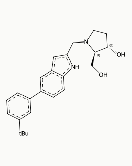 CC(C)(C)c1cccc(-c2ccc3[nH]c(CN4CC[C@H](O)[C@H]4CO)cc3c2)c1